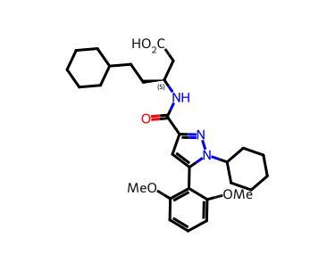 COc1cccc(OC)c1-c1cc(C(=O)N[C@@H](CCC2CCCCC2)CC(=O)O)nn1C1CCCCC1